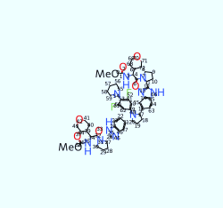 COC(=O)N[C@H](C(=O)N1CCC[C@H]1c1nc2cc([C@H]3CC[C@H](c4ccc5[nH]c([C@@H]6CCCN6C(=O)[C@@H](NC(=O)OC)C6CCOCC6)nc5c4)N3c3cc(F)c(N4CCCCC4)c(F)c3)ccc2[nH]1)C1CCOCC1